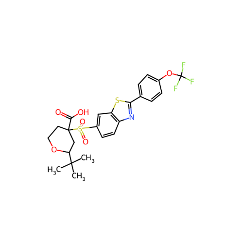 CC(C)(C)C1CC(C(=O)O)(S(=O)(=O)c2ccc3nc(-c4ccc(OC(F)(F)F)cc4)sc3c2)CCO1